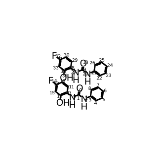 O=C(Nc1ccccc1)Nc1ccc(F)cc1O.O=C(Nc1ccccc1)Nc1ccc(F)cc1O